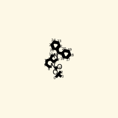 CC(C)(C)OC(=O)N1CCCC2CN(C(c3ccccc3)c3ccccc3)CC21